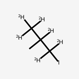 [2H]C([2H])([2H])C([2H])(C)C([2H])([2H])I